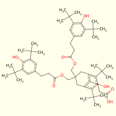 CC(C)(C)c1cc(CCC(=O)OCC2(COC(=O)CCc3cc(C(C)(C)C)c(O)c(C(C)(C)C)c3)Cc3c(CCC(=O)O)c(c(C(C)(C)C)c(O)c3C(C)(C)C)C2)cc(C(C)(C)C)c1O